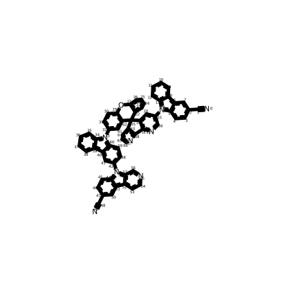 N#Cc1ccc2c(c1)c1ccccc1n2-c1cnc2c(c1)C1(c3ccccc3Oc3ccc(-n4c5ccccc5c5cc(-n6c7ccc(C#N)cc7c7ccncc76)ccc54)cc31)c1cccnc1-2